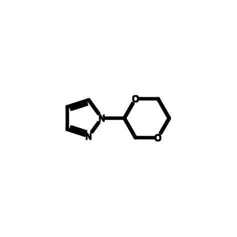 c1cnn(C2COCCO2)c1